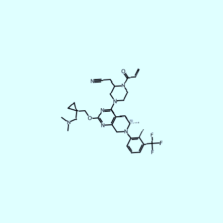 C=CC(=O)N1CCN(c2nc(OCC3(CN(C)C)CC3)nc3c2C[C@H](C)N(c2cccc(C(F)(F)F)c2C)C3)CC1CC#N